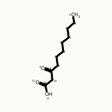 CCCCCCCCC(=O)CC(=O)O